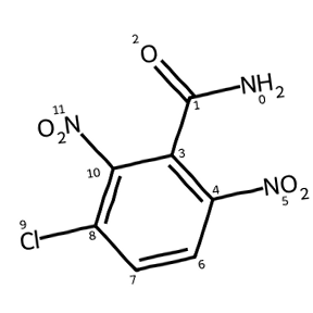 NC(=O)c1c([N+](=O)[O-])ccc(Cl)c1[N+](=O)[O-]